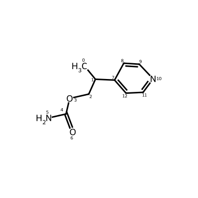 CC(COC(N)=O)c1ccncc1